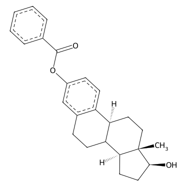 C[C@]12CC[C@@H]3c4ccc(OC(=O)c5ccccc5)cc4CCC3[C@@H]1CC[C@@H]2O